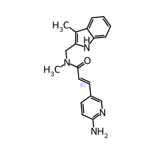 Cc1c(CN(C)C(=O)/C=C/c2ccc(N)nc2)[nH]c2ccccc12